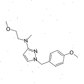 COCCN(C)c1ccn(Cc2ccc(OC)cc2)n1